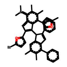 CCc1ccc(C2=C(C3C(c4ccc(C)o4)=Cc4c3cc(C)c(C)c4-c3ccccc3)c3c(-c4ccccc4)c(C)c(C)c(=[Si](C)C)c3=[C]2)o1